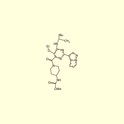 CCOc1c(NC(C)C(C)(C)C)nc(-c2cnn3ccsc23)nc1C(=O)N1CCC(NC(=O)OC)CC1